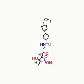 CCc1ccc(-c2ccc(C(=O)NCCC(=O)N[C@H](C(=O)NO)[C@@H](C)O)cc2)cc1